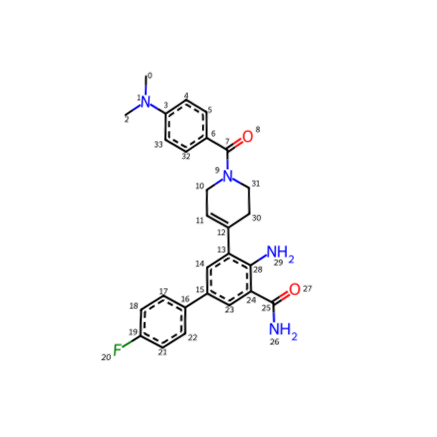 CN(C)c1ccc(C(=O)N2CC=C(c3cc(-c4ccc(F)cc4)cc(C(N)=O)c3N)CC2)cc1